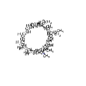 C/C=C/C[C@@H](C)[C@@H](O)[C@H]1C(=O)N[C@@H](CC)C(=O)N(C)[C@H](CCCN(C)C)C(=O)N(C)[C@@H](CC(C)(C)O)C(=O)N[C@@H](C(C)C)C(=O)N(C)[C@@H](CC(C)C)C(=O)N[C@@H](C)C(=O)N[C@H](C)C(=O)N(C)[C@@H](CC(C)C)C(=O)N(C)[C@@H](CC(C)C)C(=O)N(C)[C@@H](C(C)C)C(=O)N1C